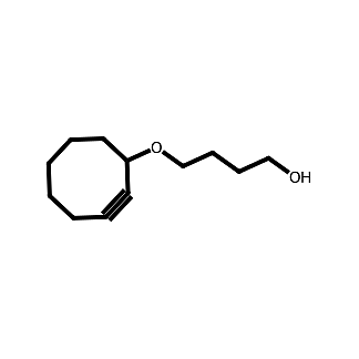 OCCCCOC1C#CCCCCC1